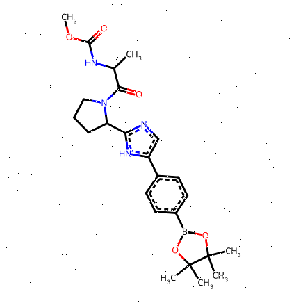 COC(=O)NC(C)C(=O)N1CCCC1c1ncc(-c2ccc(B3OC(C)(C)C(C)(C)O3)cc2)[nH]1